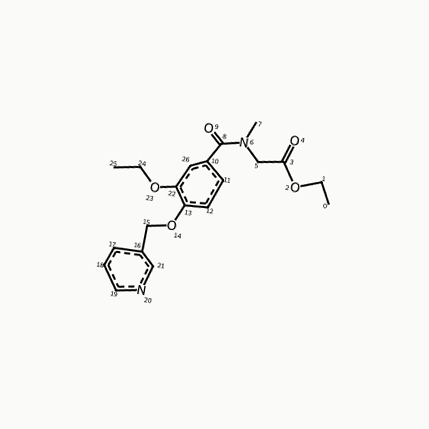 CCOC(=O)CN(C)C(=O)c1ccc(OCc2cccnc2)c(OCC)c1